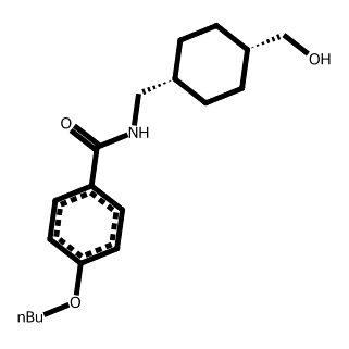 CCCCOc1ccc(C(=O)NC[C@H]2CC[C@@H](CO)CC2)cc1